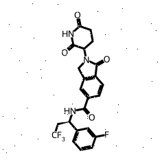 O=C1CCC(N2Cc3cc(C(=O)N[C@H](CC(F)(F)F)c4cccc(F)c4)ccc3C2=O)C(=O)N1